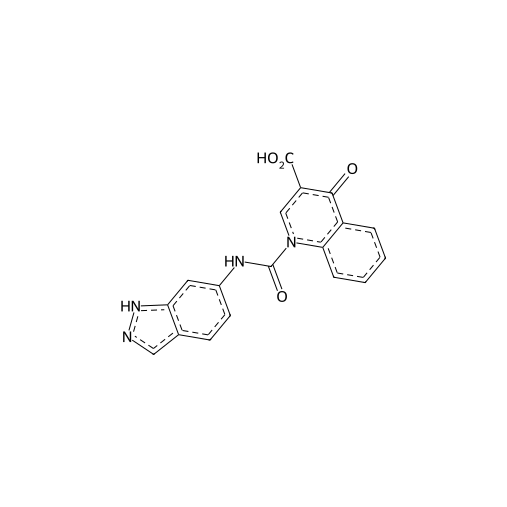 O=C(O)c1cn(C(=O)Nc2ccc3cn[nH]c3c2)c2ccccc2c1=O